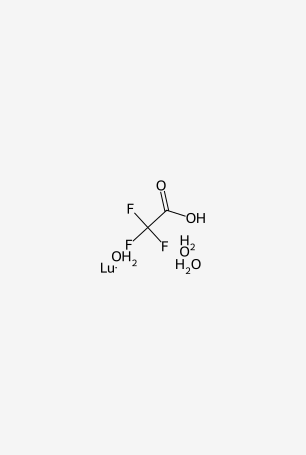 O.O.O.O=C(O)C(F)(F)F.[Lu]